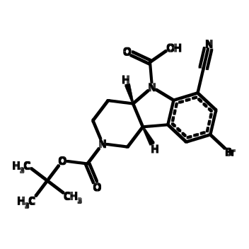 CC(C)(C)OC(=O)N1CC[C@H]2[C@@H](C1)c1cc(Br)cc(C#N)c1N2C(=O)O